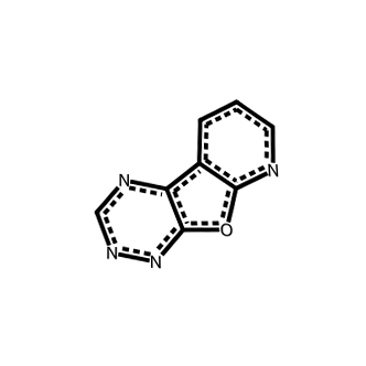 c1cnc2oc3nncnc3c2c1